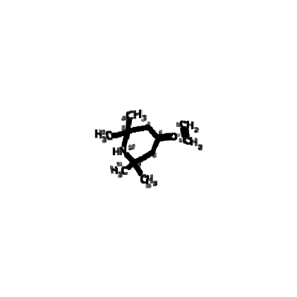 C=C.CC1(C)CC(=O)CC(C)(C)N1